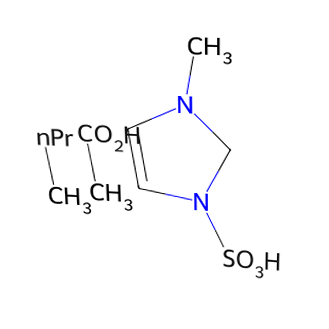 CC(=O)O.CCCC.CN1C=CN(S(=O)(=O)O)C1